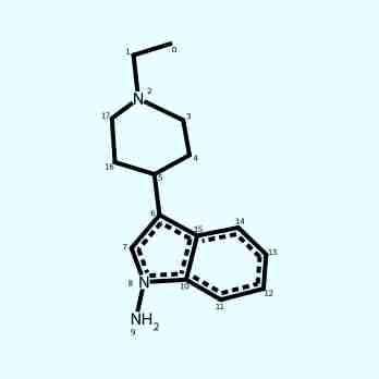 CCN1CCC(c2cn(N)c3ccccc23)CC1